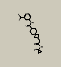 O=C(CN1CC2(CCC(C(=O)Nc3cccc(C(F)F)c3)CC2)C1)NC1(C(F)(F)F)CC1